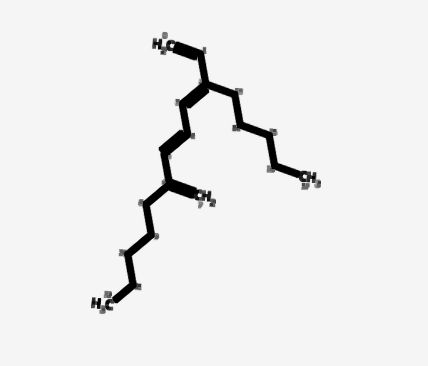 C=CC(=CC=CC(=C)CCCCC)CCCCC